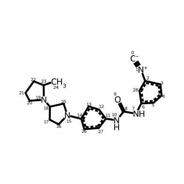 [C-]#[N+]c1cccc(NC(=O)Nc2ccc(N3CCC(N4CCCC4C)C3)cc2)c1